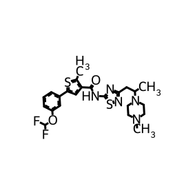 Cc1sc(-c2cccc(OC(F)F)c2)cc1C(=O)Nc1nc(CC(C)N2CCN(C)CC2)ns1